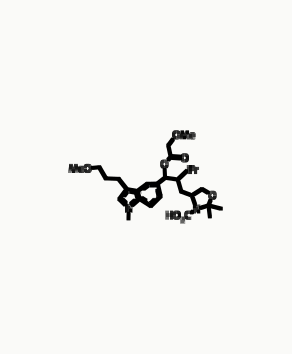 COCCCc1cn(C)c2ccc(C(OC(=O)COC)C(CC3COC(C)(C)N3C(=O)O)C(C)C)cc12